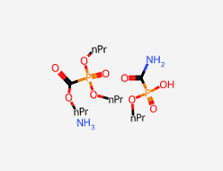 CCCOC(=O)P(=O)(OCCC)OCCC.CCCOP(=O)(O)C(N)=O.N